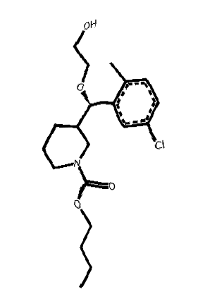 CCCCOC(=O)N1CCCC([C@@H](OCCO)c2cc(Cl)ccc2C)C1